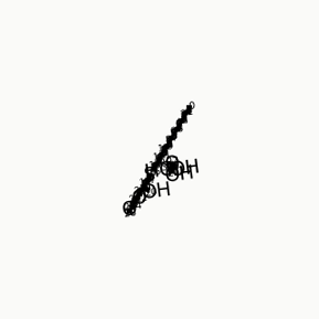 CCCCCCCCCCCCCCCCSCCC(O)COCCOC.O=P(O)(O)O